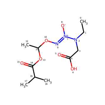 CCN(CC(=O)O)[N+]([O-])=NOC(C)OC(=O)C(C)C